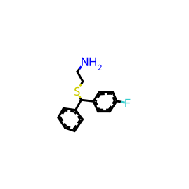 NCCSC(c1ccccc1)c1ccc(F)cc1